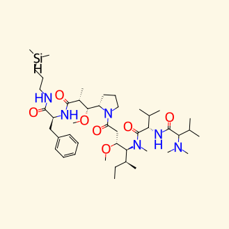 CC[C@H](C)[C@@H]([C@@H](CC(=O)N1CCC[C@H]1[C@H](OC)[C@@H](C)C(=O)N[C@@H](Cc1ccccc1)C(=O)NCCC[SiH](C)C)OC)N(C)C(=O)[C@@H](NC(=O)C(C(C)C)N(C)C)C(C)C